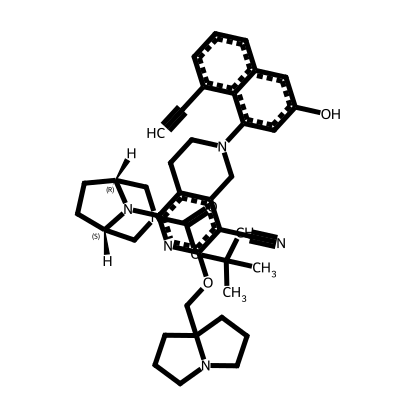 C#Cc1cccc2cc(O)cc(N3CCc4c(N5[C@@H]6CC[C@H]5CN(C(=O)OC(C)(C)C)C6)nc(OCC56CCCN5CCC6)c(C#N)c4C3)c12